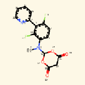 CCN(c1ccc(F)c(-c2ccccn2)c1F)C1OC(=O)CC(=O)O1